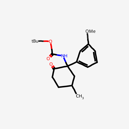 COc1cccc(C2(NC(=O)OC(C)(C)C)CC(C)CCC2=O)c1